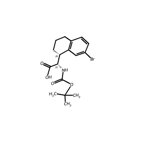 CC(C)(C)OC(=O)N[C@H](C(=O)O)[C@@H]1CCCc2ccc(Br)cc21